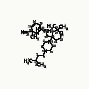 CC(C)CCN1CCN(C2(CNC3=CC=CC(C)(C#N)N3)CCOC(C)(C)C2)CC1